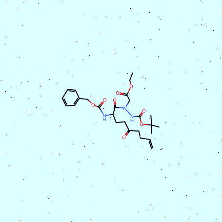 C=CCCC(=O)CCC(NC(=O)OCc1ccccc1)C(=O)N(CC(=O)OCC)NC(=O)OC(C)(C)C